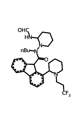 CCCCN(C(=O)C1c2ccccc2-c2cccc(C3CCCCN3CCC(F)(F)F)c21)N1CCCCC1NC=O